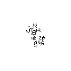 CC(C)(CC(O)(Cn1cc(Cl)c(=O)c2cnccc21)C(F)(F)F)c1cc(-c2cccnc2)cc2c1OCC2.CC(C)(CC(O)(Cn1ccc(=O)c2sccc21)C(F)(F)F)c1cc(-c2cncnc2)cc2c1OCC2